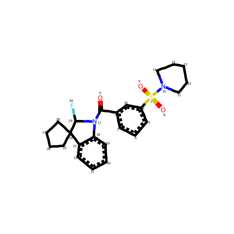 O=C(c1cccc(S(=O)(=O)N2CCCCC2)c1)N1c2ccccc2C2(CCCC2)C1F